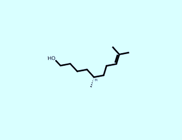 CC(C)=CCC[C@H](C)CCCCO